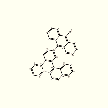 Brc1c2ccccc2c(-c2ccc(-c3ncccn3)c(-c3cccc4ccccc34)c2)c2ccccc12